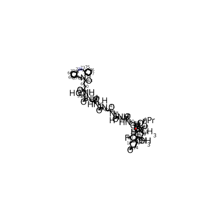 CCCC1O[C@@H]2CC3[C@@H]4C[C@H](F)C5=CC(=O)C=C[C@]5(C)[C@@]4(F)[C@@H](O)C[C@]3(C)[C@]2(C(=O)COCNC(=O)CNC(=O)CNC(=O)CNC(=O)CNC(=O)CNC(=O)[C@H](CO)NC(=O)CCC(=O)N2Cc3ccccc3/C=C\c3ccccc32)O1